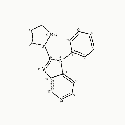 c1ccc(-n2c(C3CCCN3)nc3ccccc32)cc1